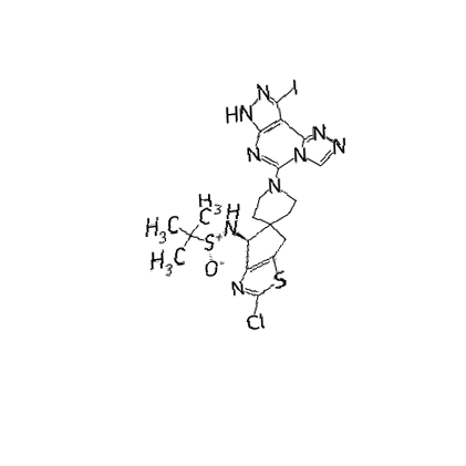 CC(C)(C)[S@@+]([O-])N[C@@H]1c2nc(Cl)sc2CC12CCN(c1nc3[nH]nc(I)c3c3nncn13)CC2